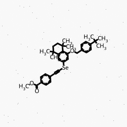 COC(=O)c1ccc(C#C[Se]c2cc(OCc3ccc(C(C)(C)C)cc3)c3c(c2)C(C)(C)CCC3(C)C)cc1